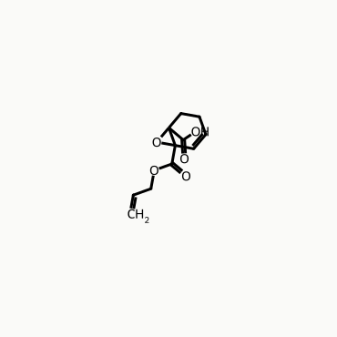 C=CCOC(=O)C12C=CCCC1(C(=O)O)O2